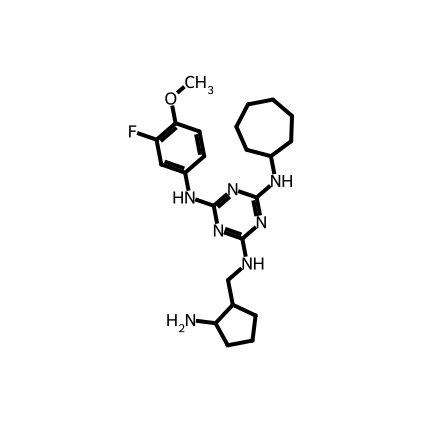 COc1ccc(Nc2nc(NCC3CCCC3N)nc(NC3CCCCCC3)n2)cc1F